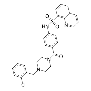 O=C(c1ccc(NS(=O)(=O)C2=C3N=CC=CC3CC=C2)cc1)N1CCN(Cc2ccccc2Cl)CC1